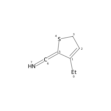 CCC1=CCSC1=C=N